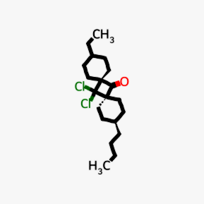 CCCC[C@H]1CC[C@@]2(CC1)C(=O)[C@]1(CCC(CC)CC1)C2(Cl)Cl